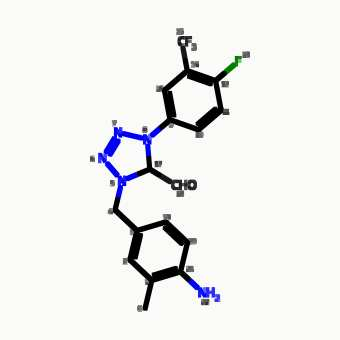 Cc1cc(CN2N=NN(c3ccc(F)c(C(F)(F)F)c3)C2C=O)ccc1N